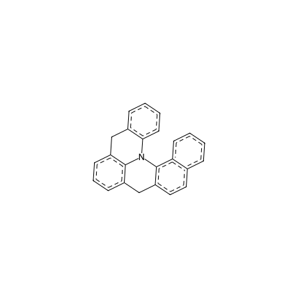 c1ccc2c(c1)Cc1cccc3c1N2c1c(ccc2ccccc12)C3